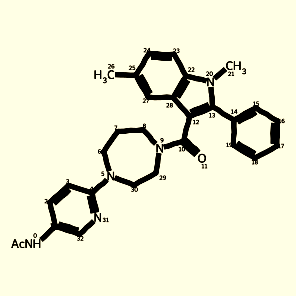 CC(=O)Nc1ccc(N2CCCN(C(=O)c3c(-c4ccccc4)n(C)c4ccc(C)cc34)CC2)nc1